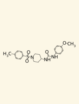 COc1ccc(NC(=O)NC2CCN(S(=O)(=O)c3ccc(C)cc3)CC2)cc1